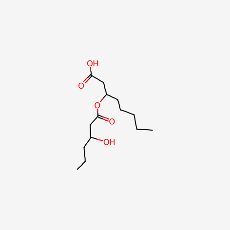 CCCCCC(CC(=O)O)OC(=O)CC(O)CCC